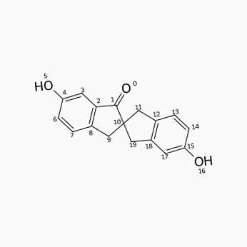 O=C1c2cc(O)ccc2CC12Cc1ccc(O)cc1C2